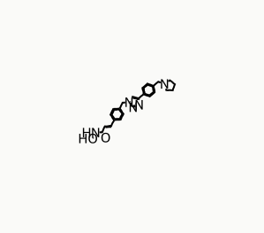 O=C(C=Cc1ccc(Cn2cc(-c3ccc(CN4CCCC4)cc3)nn2)cc1)NO